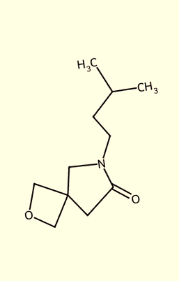 CC(C)CCN1CC2(COC2)CC1=O